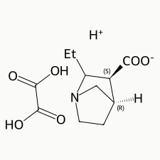 CCC1[C@@H](C(=O)[O-])[C@H]2CCN1C2.O=C(O)C(=O)O.[H+]